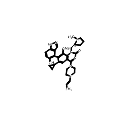 CC=CN1CCN(c2nc(=O)n(C[C@@H]3CCCN3C)c3c(OC)c(-c4c(C)ccc5[nH]ncc45)c(C4CC4)cc23)CC1